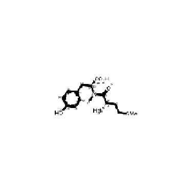 CSCC[C@H](N)C(=O)N(I)[C@@H](Cc1ccc(O)cc1)C(=O)O